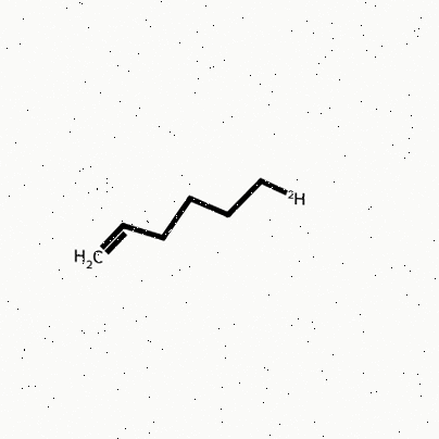 [2H]CCCCC=C